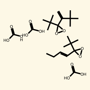 C=C(C(C)(C)C)C1(C(C)(C)C)OO1.CCC=CC1(C(C)(C)C)OO1.O=C(O)O.O=C(O)O.O=C(O)O